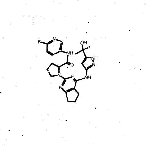 CC(C)(O)c1cc(Nc2nc(N3CCCC3C(=O)Nc3ccc(F)nc3)nc3c2CCC3)n[nH]1